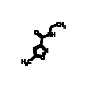 CCNC(=O)c1cc(C)on1